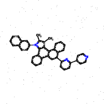 Cc1c(C)n(-c2ccc3ccccc3c2)c2c3ccccc3c3cc(-c4cccc(-c5ccncc5)n4)c4ccccc4c3c12